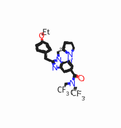 CCOc1ccc(Cc2nc3cc(C(=O)N(CC(F)(F)F)CC(F)(F)F)ccc3n2C[C@@H]2CCCN2)cc1